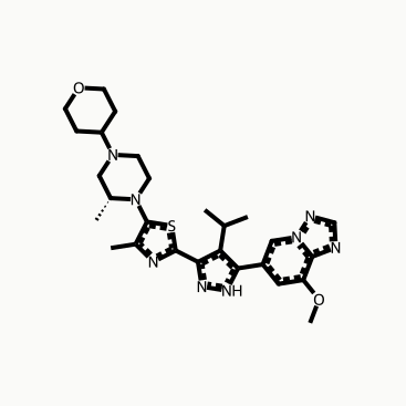 COc1cc(-c2[nH]nc(-c3nc(C)c(N4CCN(C5CCOCC5)C[C@H]4C)s3)c2C(C)C)cn2ncnc12